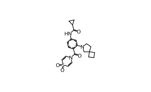 O=C(Nc1ccc(C(=O)N2C=CS(=O)(=O)C=C2)c(N2CCC3(CCC3)C2)c1)C1CC1